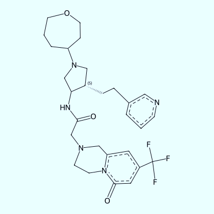 O=C(CN1CCn2c(cc(C(F)(F)F)cc2=O)C1)NC1CN(C2CCCOCC2)C[C@@H]1CCc1cccnc1